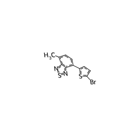 Cc1ccc(-c2ccc(Br)s2)c2nsnc12